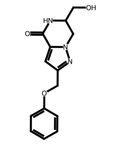 O=C1NC(CO)Cn2nc(COc3ccccc3)cc21